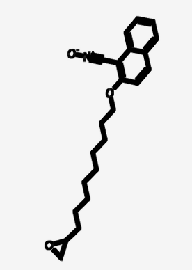 [O-][N+]#Cc1c(OCCCCCCCCCC2CO2)ccc2ccccc12